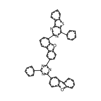 c1ccc(-c2nc(-c3ccc4oc5ccccc5c4c3)nc(-c3ccc4oc5c(-c6nc(-c7ccccc7)c7sc8ccccc8c7n6)cccc5c4c3)n2)cc1